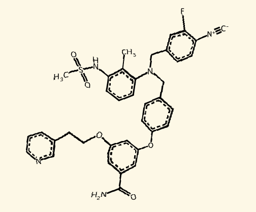 [C-]#[N+]c1ccc(CN(Cc2ccc(Oc3cc(OCCc4cccnc4)cc(C(N)=O)c3)cc2)c2cccc(NS(C)(=O)=O)c2C)cc1F